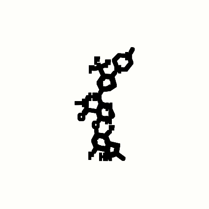 Cc1cc2c(F)c(Oc3ncnc(Nc4ccc(N5CCN(C)CC5)c(C(F)(F)F)c4)c3C(=O)N(C)C)cc(F)c2[nH]1